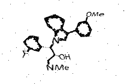 CNC[C@@H](O)[C@H](c1cccc(F)c1)n1cc(-c2cccc(OC)c2)c2ccccc21